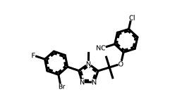 Cn1c(-c2ccc(F)cc2Br)nnc1C(C)(C)Oc1ccc(Cl)cc1C#N